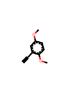 [C]#Cc1cc(OC)ccc1OC